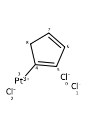 [Cl-].[Cl-].[Cl-].[Pt+3][C]1=CC=CC1